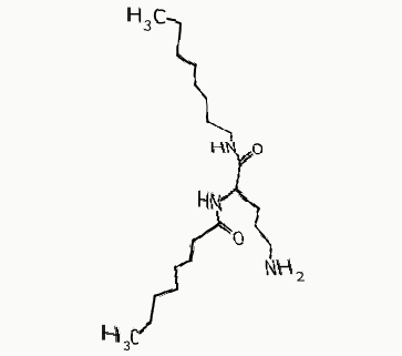 CCCCCCCCNC(=O)C(CCCN)NC(=O)CCCCCCC